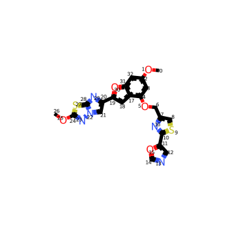 COc1cc(OCc2csc(-c3cnco3)n2)c2cc(-c3cn4nc(OC)sc4n3)oc2c1